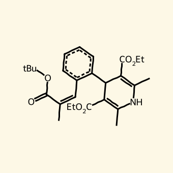 CCOC(=O)C1=C(C)NC(C)=C(C(=O)OCC)C1c1ccccc1C=C(C)C(=O)OC(C)(C)C